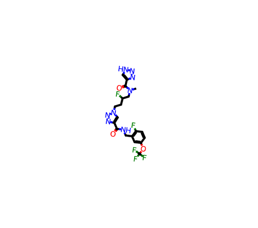 CN(CC(F)CCn1cc(C(=O)NCc2cc(OC(F)(F)F)ccc2F)nn1)C(=O)c1c[nH]nn1